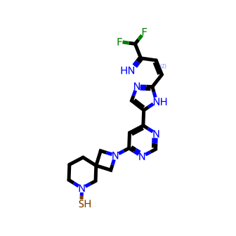 N=C(/C=C\c1ncc(-c2cc(N3CC4(CCCN(S)C4)C3)ncn2)[nH]1)C(F)F